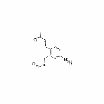 CC(=O)SCc1ccc([N+]#N)cc1CSC(C)=O